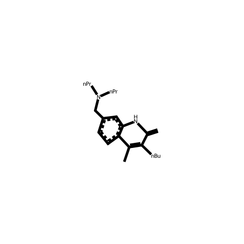 C=C1Nc2cc(CN(CCC)CCC)ccc2C(C)=C1CCCC